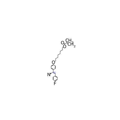 C=C(C)C(=O)OCCCCCCCCOc1ccc(/C(C#N)=C/c2ccc(F)cc2)cc1